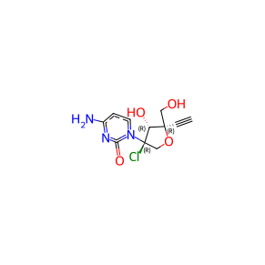 C#C[C@]1(CO)OC[C@](Cl)(n2ccc(N)nc2=O)[C@@H]1O